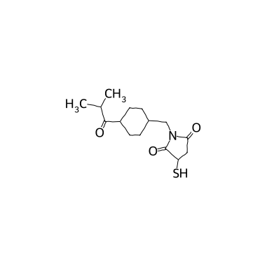 CC(C)C(=O)C1CCC(CN2C(=O)CC(S)C2=O)CC1